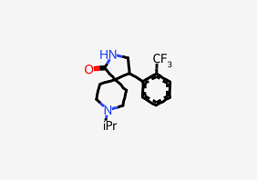 CC(C)N1CCC2(CC1)C(=O)NCC2c1ccccc1C(F)(F)F